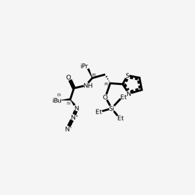 CC[C@H](C)[C@H](N=[N+]=[N-])C(=O)N[C@H](C[C@@H](O[Si](CC)(CC)CC)c1nccs1)C(C)C